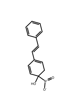 O=[N+]([O-])C1(O)C=CC(C=Cc2ccccc2)=CC1